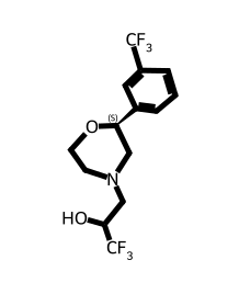 OC(CN1CCO[C@@H](c2cccc(C(F)(F)F)c2)C1)C(F)(F)F